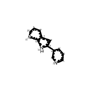 c1cncc(-c2cc3cccnc3[nH]2)c1